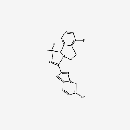 O=C(c1cc2ccc(Br)cn2n1)N1CCc2c(F)cccc2C1C(F)(F)F